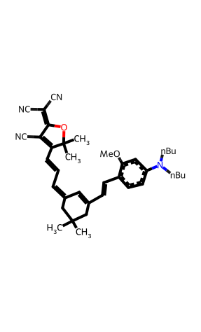 CCCCN(CCCC)c1ccc(/C=C/C2=CC(=CC=CC3=C(C#N)C(=C(C#N)C#N)OC3(C)C)CC(C)(C)C2)c(OC)c1